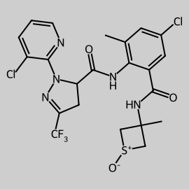 Cc1cc(Cl)cc(C(=O)NC2(C)C[S+]([O-])C2)c1NC(=O)C1CC(C(F)(F)F)=NN1c1ncccc1Cl